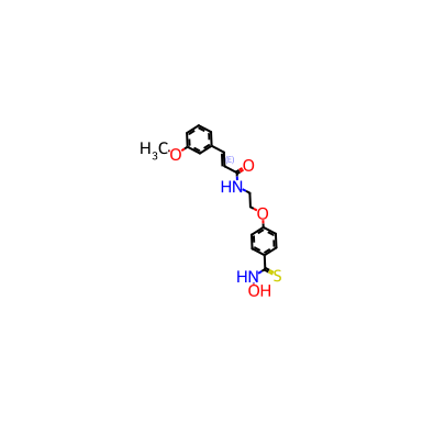 COc1cccc(/C=C/C(=O)NCCOc2ccc(C(=S)NO)cc2)c1